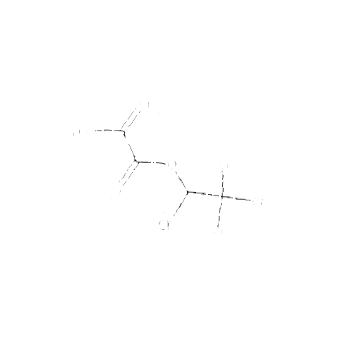 C=C(C)C(=O)OC(Cl)C(Cl)(Cl)Cl